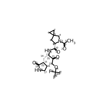 CC(=O)N1CC2(CC2)C[C@H]1C(=O)N[C@@H](C[C@@H]1CCNC1=O)C(=O)COC(F)(F)F